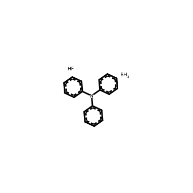 B.F.c1ccc(N(c2ccccc2)c2ccccc2)cc1